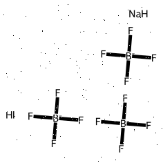 F[B-](F)(F)F.F[B-](F)(F)F.F[B-](F)(F)F.I.[NaH]